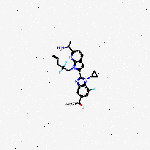 C=CCC(F)(F)Cn1c(-c2nc3cc(C(=O)OC)cc(F)c3n2C2CC2)cc2ccc(C(C)N)nc21